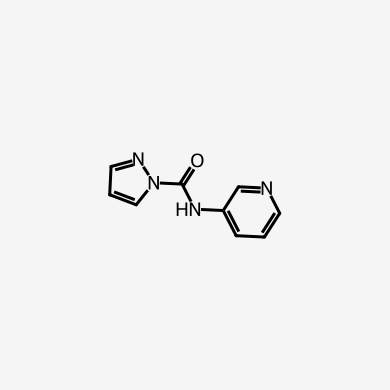 O=C(Nc1cccnc1)n1cccn1